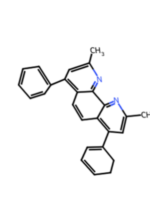 Cc1cc(C2=CC=CCC2)c2ccc3c(-c4ccccc4)cc(C)nc3c2n1